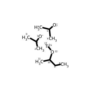 CC(C)[O-].CC(C)[O-].CCC(C)[O][Ti+2]